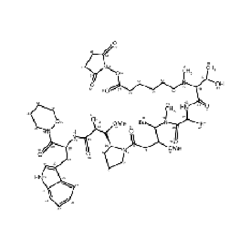 CCC(C)C(C(CC(=O)N1CCC[C@H]1C(OC)C(C)C(=O)NC(Cc1c[nH]c2ccccc12)C(=O)N1CCCCO1)OC)N(C)C(=O)C(NC(=O)C(C(C)O)N(C)CCCCCC(=O)ON1C(=O)CCC1=O)C(C)C